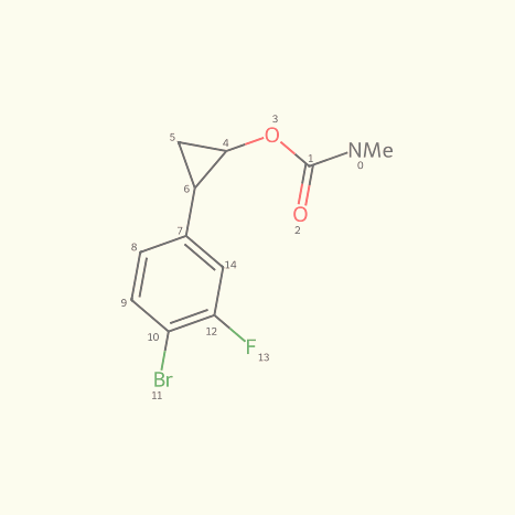 CNC(=O)OC1CC1c1ccc(Br)c(F)c1